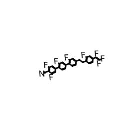 N#Cc1c(F)cc(-c2ccc(-c3ccc(CCc4ccc(C(F)=C(F)F)cc4F)cc3F)cc2F)cc1F